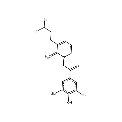 C=C1C(CCC(CC)CC)=CC=CN1CC(=O)c1cc(C(C)(C)C)c(O)c(C(C)(C)C)c1